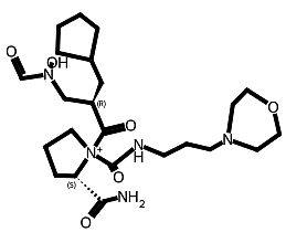 NC(=O)[C@@H]1CCC[N+]1(C(=O)NCCCN1CCOCC1)C(=O)[C@H](CC1CCCC1)CN(O)C=O